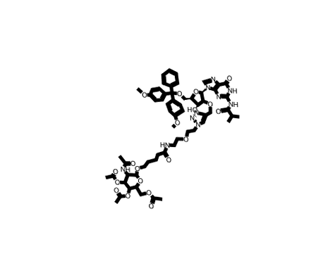 COc1ccc(C(OC[C@H]2O[C@@H](n3cnc4c(=O)[nH]c(NC(=O)C(C)C)nc43)C(OCc3cn(CCOCCNC(=O)CCCCOC4OC(COC(C)=O)C(OC(C)=O)C(OC(C)=O)C4NC(C)=O)nn3)[C@@H]2O)(c2ccccc2)c2ccc(OC)cc2)cc1